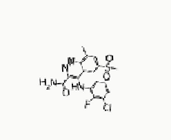 Cc1cc(S(C)(=O)=O)cc2c(Nc3cccc(Cl)c3F)c(C(N)=O)nnc12